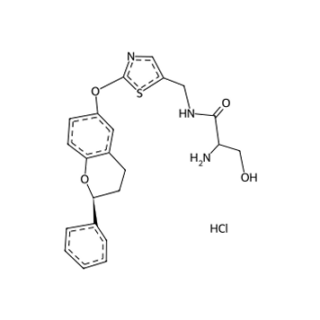 Cl.NC(CO)C(=O)NCc1cnc(Oc2ccc3c(c2)CC[C@@H](c2ccccc2)O3)s1